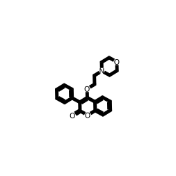 O=c1oc2ccccc2c(OCCN2CCOCC2)c1-c1ccccc1